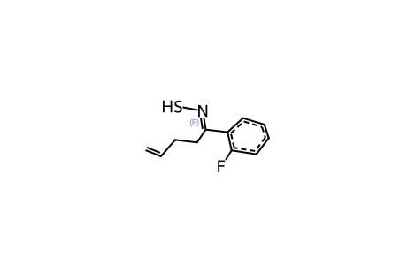 C=CCC/C(=N\S)c1ccccc1F